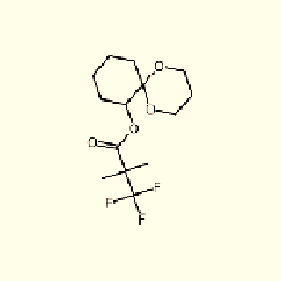 CC(C)(C(=O)OC1CCCCC12OCCCO2)C(F)(F)F